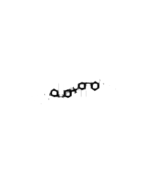 CC(C)(c1ccc(Oc2cccc([N+](=O)[O-])c2)cc1)c1ccc(Oc2cccc([N+](=O)[O-])c2)cc1